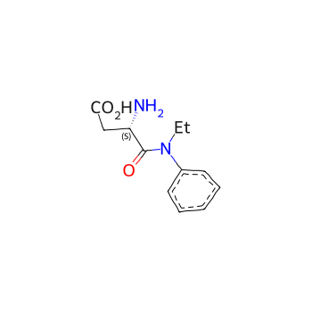 CCN(C(=O)[C@@H](N)CC(=O)O)c1ccccc1